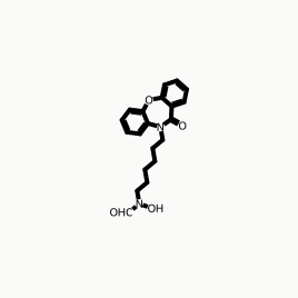 O=CN(O)CCCCCCN1C(=O)c2ccccc2Oc2ccccc21